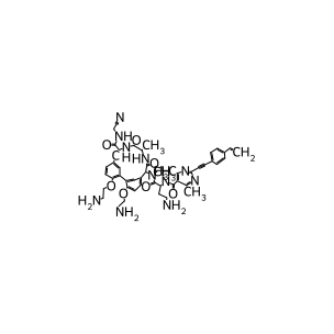 C=Cc1ccc(C#Cc2nc(C)c(C(=O)NC(CCN)C(=O)N(C)C3C(=O)NC(C)C(=O)NC(C(=O)NCC#N)Cc4ccc(OCCN)c(c4)-c4cc3ccc4OCCN)c(C)n2)cc1